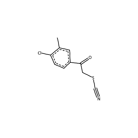 Cc1cc(C(=O)CSC#N)ccc1Cl